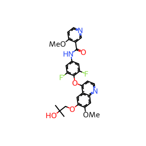 COc1cc2nccc(Oc3c(F)cc(NC(=O)c4cnccc4OC)cc3F)c2cc1OCC(C)(C)O